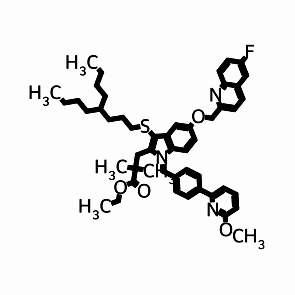 CCCCC(CCCC)CCCSc1c(CC(C)(C)C(=O)OCC)n(Cc2ccc(-c3cccc(OC)n3)cc2)c2ccc(OCc3ccc4cc(F)ccc4n3)cc12